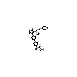 Cc1noc(-c2ccc(-c3ccc(C4(C(=O)O)CC4)cc3)cc2)c1C(O)CCCc1ccncc1